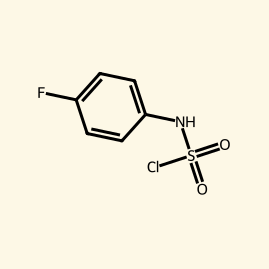 O=S(=O)(Cl)Nc1ccc(F)cc1